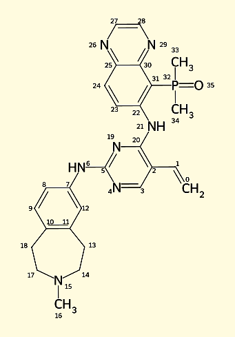 C=Cc1cnc(Nc2ccc3c(c2)CCN(C)CC3)nc1Nc1ccc2nccnc2c1P(C)(C)=O